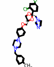 Cc1ccc(CN2CCN(c3ccc(OC[C@@H]4CO[C@@](Cn5ccnc5)(c5ccc(Cl)cc5Cl)O4)cc3)CC2)cc1